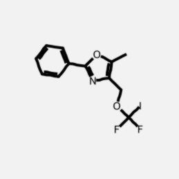 Cc1oc(-c2ccccc2)nc1COC(F)(F)I